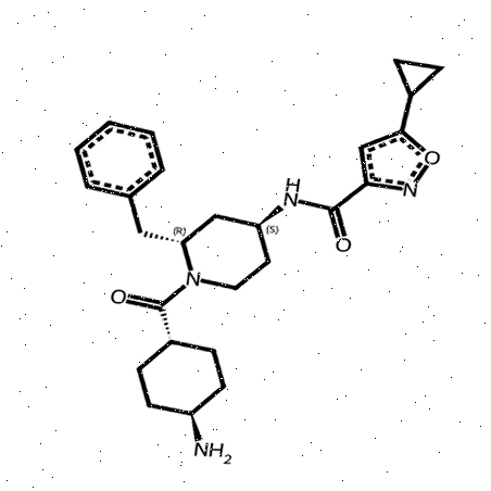 N[C@H]1CC[C@H](C(=O)N2CC[C@H](NC(=O)c3cc(C4CC4)on3)C[C@H]2Cc2ccccc2)CC1